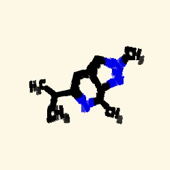 Cc1nc(C(C)C)cc2cn(C)nc12